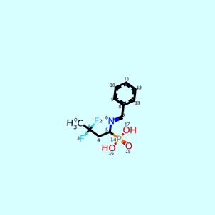 CC(F)(F)CC(/N=C/c1ccccc1)P(=O)(O)O